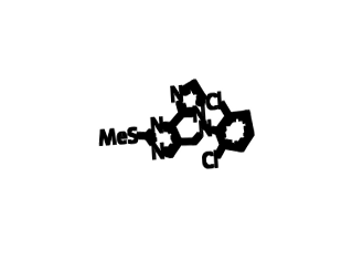 CSc1ncc2c(n1)-c1nccn1N(c1c(Cl)cccc1Cl)C2